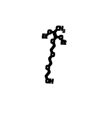 CCOC(C)=C(OCC)OCCOCCOCCO